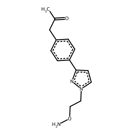 CC(=O)Cc1ccc(-c2ccn(CCON)n2)cc1